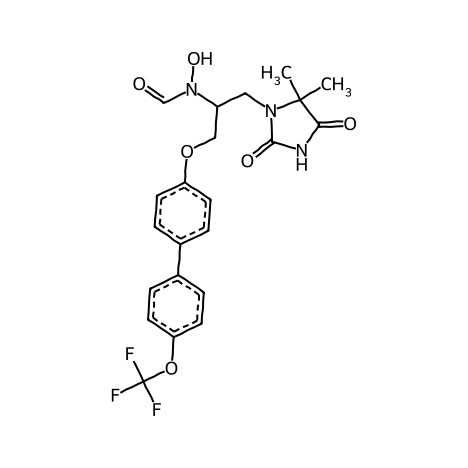 CC1(C)C(=O)NC(=O)N1CC(COc1ccc(-c2ccc(OC(F)(F)F)cc2)cc1)N(O)C=O